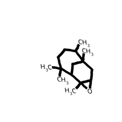 CC1CCC(C)(C)C2CC1(C)CC1OC12C